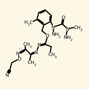 CCC(=NN=C(C)/C(C)=N\OCC#N)OCc1c(C)cccc1N(N)C(=O)N(C)N